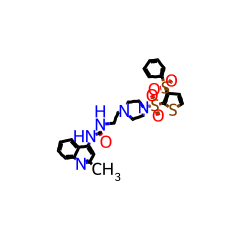 Cc1cc(NC(=O)NCCN2CCN(S(=O)(=O)c3sccc3S(=O)(=O)c3ccccc3)CC2)c2ccccc2n1